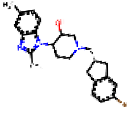 Cc1ccc2c(c1)nc(C)n2C1CCN(C[C@H]2Cc3ccc(Br)cc3C2)CC1O